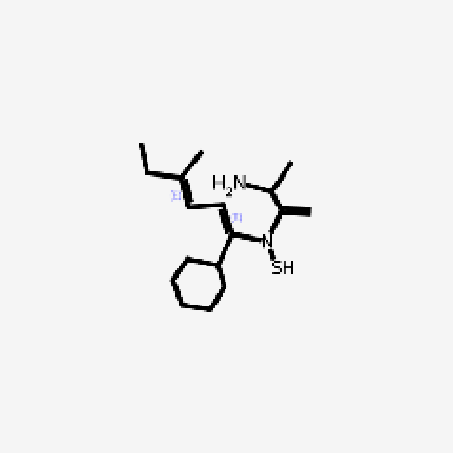 C=C(C(C)N)N(S)/C(=C/C=C(\C)CC)C1CCCCC1